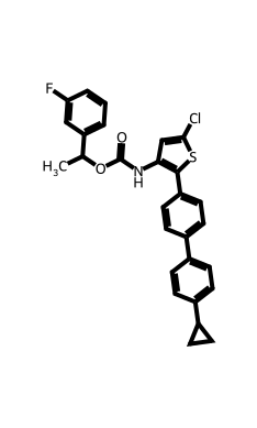 CC(OC(=O)Nc1cc(Cl)sc1-c1ccc(-c2ccc(C3CC3)cc2)cc1)c1cccc(F)c1